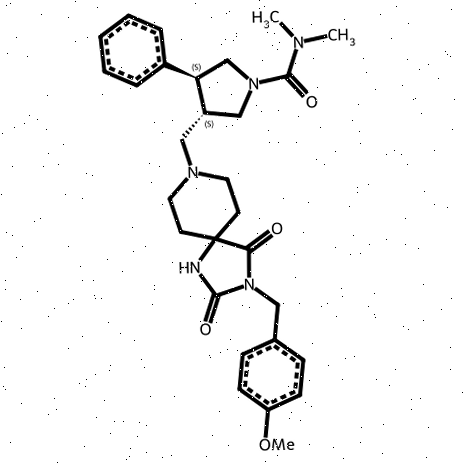 COc1ccc(CN2C(=O)NC3(CCN(C[C@H]4CN(C(=O)N(C)C)C[C@@H]4c4ccccc4)CC3)C2=O)cc1